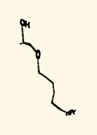 CCCCCCO[CH]O